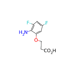 Nc1c(F)cc(F)cc1OCCC(=O)O